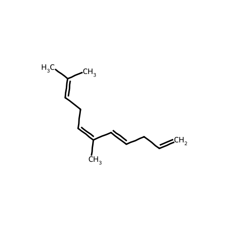 C=CC/C=C/C(C)=C\CC=C(C)C